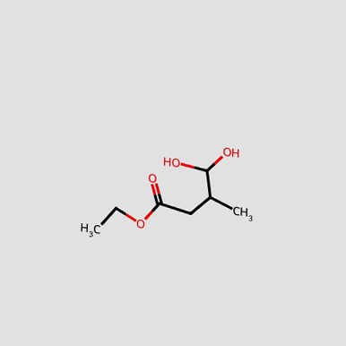 CCOC(=O)CC(C)C(O)O